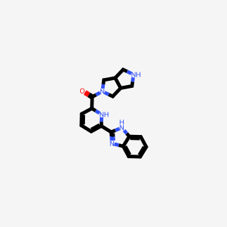 O=C(C1C=CC=C(c2nc3ccccc3[nH]2)N1)N1CC2CNCC2C1